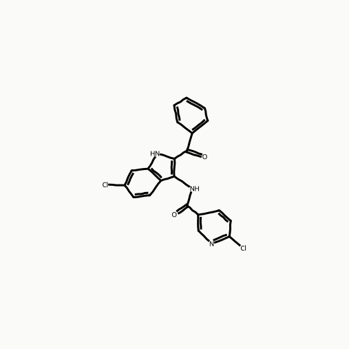 O=C(Nc1c(C(=O)c2ccccc2)[nH]c2cc(Cl)ccc12)c1ccc(Cl)nc1